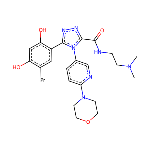 CC(C)c1cc(-c2nnc(C(=O)NCCN(C)C)n2-c2ccc(N3CCOCC3)nc2)c(O)cc1O